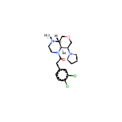 CN1CCN(C(=O)Cc2ccc(Cl)c(Cl)c2)[C@@H]2C(N3CCCC3)COC[C@H]21